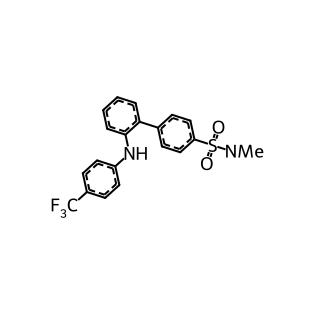 CNS(=O)(=O)c1ccc(-c2ccccc2Nc2ccc(C(F)(F)F)cc2)cc1